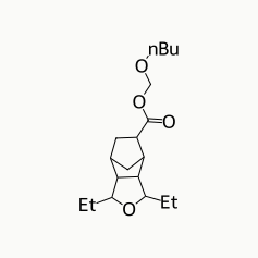 CCCCOCOC(=O)C1CC2CC1C1C(CC)OC(CC)C21